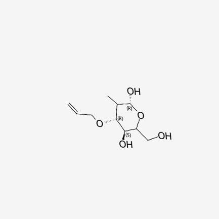 C=CCO[C@@H]1C(C)[C@H](O)OC(CO)[C@H]1O